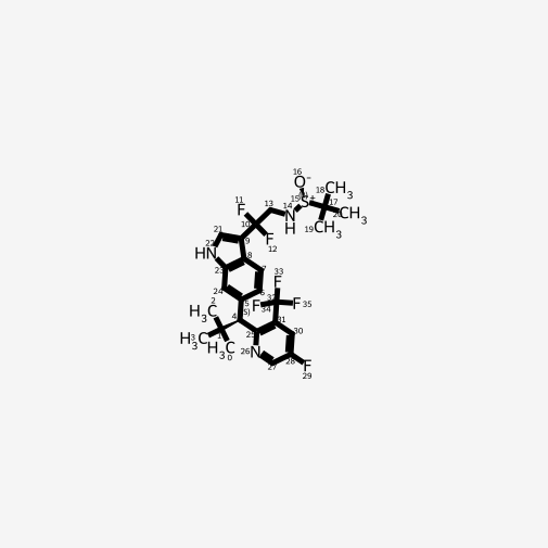 CC(C)(C)[C@@H](c1ccc2c(C(F)(F)CN[S@@+]([O-])C(C)(C)C)c[nH]c2c1)c1ncc(F)cc1C(F)(F)F